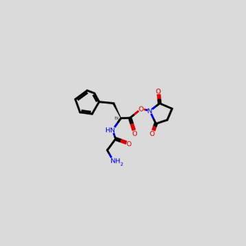 NCC(=O)N[C@@H](Cc1ccccc1)C(=O)ON1C(=O)CCC1=O